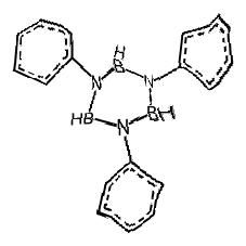 B1N(c2ccccc2)BN(c2ccccc2)BN1c1ccccc1